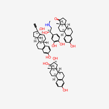 C#C[C@]1(O)CC[C@H]2[C@@H]3CCc4cc(O)ccc4[C@H]3CC[C@@]21C.CNC[C@H](O)c1ccc(O)c(O)c1.C[C@]12CC[C@@H]3c4ccc(O)cc4CC[C@H]3[C@@H]1CCC2=O.C[C@]12CC[C@@H]3c4ccc(O)cc4CC[C@H]3[C@@H]1C[C@@H](O)[C@@H]2O